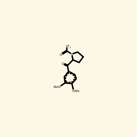 COc1ccc(C(=O)C2CCCN2C(=O)C(F)(F)F)cc1OC